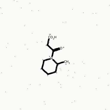 CC1CCCCN1C(=O)CC(=O)O